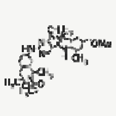 COCc1cc(C)c(Nc2nn(C)c3nc(Nc4ccc5c(c4)C(C)N(C(=O)C(F)(F)F)C(C)(C)C5)ncc23)c(C)c1